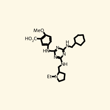 CCN1CCCC1CNc1nc(NCC2CCCCC2)nc(Nc2ccc(OC)c(C(=O)O)c2)n1